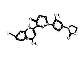 CC(=N)/C=C(\Nc1cccc(Cl)c1)c1nn(-c2ccc(N3CCOC3=O)cc2C)ccc1=O